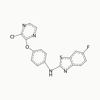 Fc1ccc2nc(Nc3ccc(Oc4nccnc4Cl)cc3)sc2c1